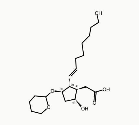 O=C(O)C[C@@H]1[C@@H](C=CCCCCCCO)[C@H](OC2CCCCO2)C[C@@H]1O